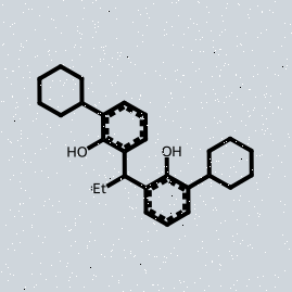 C[C]C(c1cccc(C2CCCCC2)c1O)c1cccc(C2CCCCC2)c1O